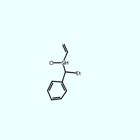 C=C[SiH](Cl)C(CC)c1ccccc1